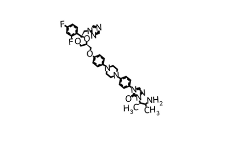 CC(N)[C@H](C)n1ncn(-c2ccc(N3CCN(c4ccc(OC[C@H]5CO[C@](Cn6cncn6)(c6ccc(F)cc6F)O5)cc4)CC3)cc2)c1=O